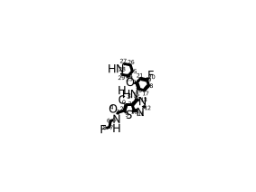 Cc1c(C(=O)NCCF)sc2ncnc(Nc3ccc(F)cc3OC3CCCNC3)c12